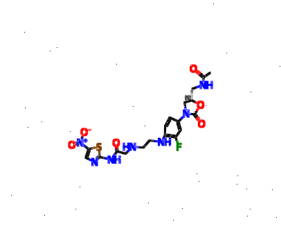 CC(=O)NC[C@H]1CN(c2ccc(NCCNCC(=O)Nc3ncc([N+](=O)[O-])s3)c(F)c2)C(=O)O1